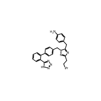 CC(C)CCc1nc(Cc2ccc(N)cc2)n(Cc2ccc(-c3ccccc3-c3nnn[nH]3)cc2)n1